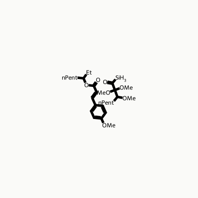 CCCCCC(CC)OC(=O)C=Cc1ccc(OC)cc1.CCCCCC(OC)C(OC)(OC)C(=O)[SiH3]